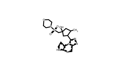 CC1CC(O)(CS(=O)(=O)N2CCOCC2)CC1c1nnc2cnc3[nH]ccc3n12